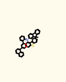 CC1(C)c2ccccc2-c2ccc(N(c3ccccc3-c3cccc(-c4cccc5ccccc45)c3)c3cccc4sc5c(c34)CCC=C5)cc21